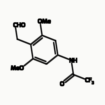 COc1cc(NC(=O)C(F)(F)F)cc(OC)c1CC=O